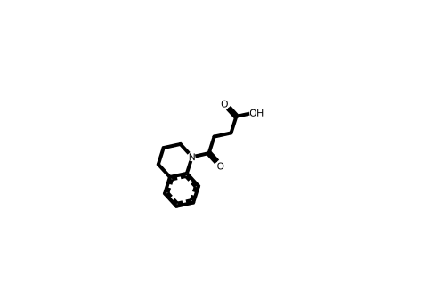 O=C(O)CCC(=O)N1CCCc2ccccc21